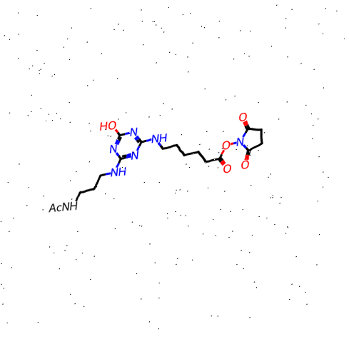 CC(=O)NCCCNc1nc(O)nc(NCCCCCC(=O)ON2C(=O)CCC2=O)n1